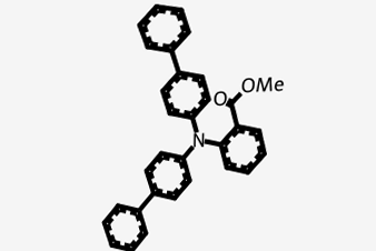 COC(=O)c1ccccc1N(c1ccc(-c2ccccc2)cc1)c1ccc(-c2ccccc2)cc1